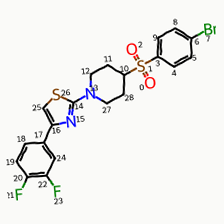 O=S(=O)(c1ccc(Br)cc1)C1CCN(c2nc(-c3ccc(F)c(F)c3)cs2)CC1